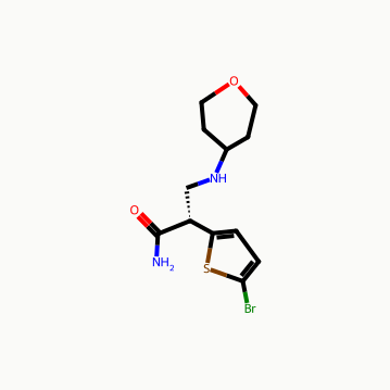 NC(=O)[C@H](CNC1CCOCC1)c1ccc(Br)s1